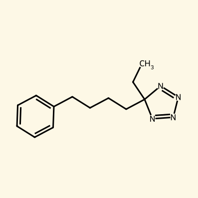 CCC1(CCCCc2ccccc2)N=NN=N1